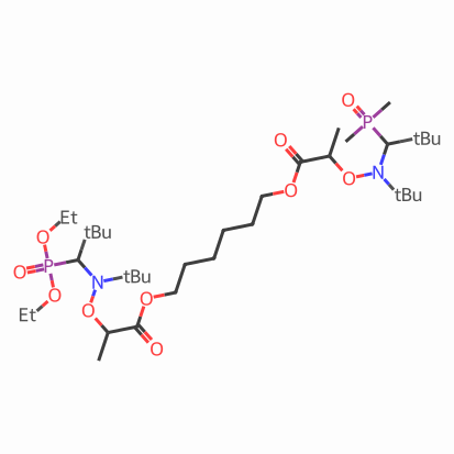 CCOP(=O)(OCC)C(N(OC(C)C(=O)OCCCCCCOC(=O)C(C)ON(C(C(C)(C)C)P(C)(C)=O)C(C)(C)C)C(C)(C)C)C(C)(C)C